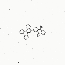 Brc1c2ccccc2c(Br)c2cc(-c3cc4c5ccccc5c5ccccc5c4c4c3C=CCC4)ccc12